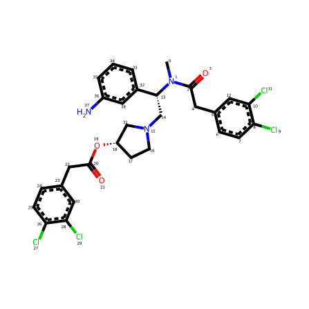 CN(C(=O)Cc1ccc(Cl)c(Cl)c1)[C@H](CN1CC[C@H](OC(=O)Cc2ccc(Cl)c(Cl)c2)C1)c1cccc(N)c1